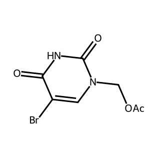 CC(=O)OCn1cc(Br)c(=O)[nH]c1=O